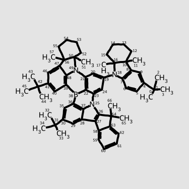 CC(C)(C)c1ccc2c(c1)C1(C)CCCCC1(C)N2c1cc2c3c(c1)-n1c4c(c5cc(C(C)(C)C)cc(c51)B3c1cc(C(C)(C)C)cc3c1N2C1(C)CCCCC31C)-c1ccccc1C4(C)C